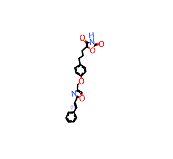 O=C1NC(=O)C(CCCc2ccc(OCc3coc(/C=C/c4ccccc4)n3)cc2)O1